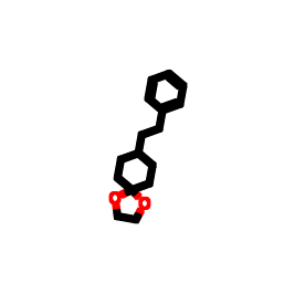 c1ccc(CCC2CCC3(CC2)OCCO3)cc1